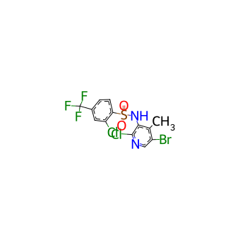 Cc1c(Br)cnc(Cl)c1NS(=O)(=O)c1ccc(C(F)(F)F)cc1Cl